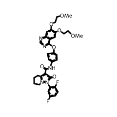 COCCOc1cc2ncnc(Oc3ccc(NC(=O)c4c5n(n(-c6cc(F)ccc6F)c4=O)CCCC5)cc3)c2cc1OCCOC